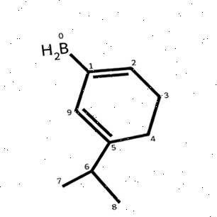 BC1=CCCC(C(C)C)=C1